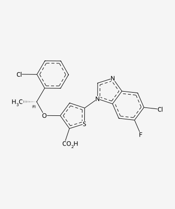 C[C@@H](Oc1cc(-n2cnc3cc(Cl)c(F)cc32)sc1C(=O)O)c1ccccc1Cl